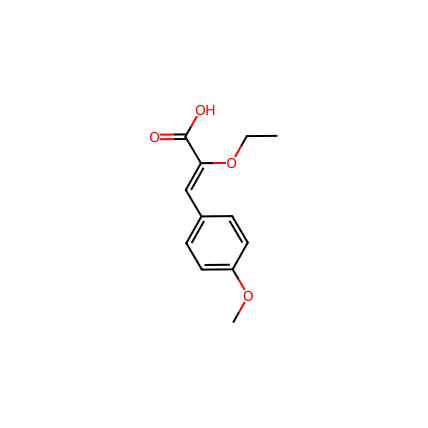 CCOC(=Cc1ccc(OC)cc1)C(=O)O